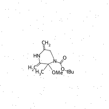 C=C1CN(C(=O)OC(C)(C)C)C(C)(OC)C(=C)N1